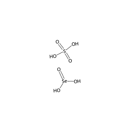 O=S(=O)(O)O.O=[Se](O)O